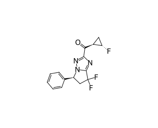 O=C(c1nc2n(n1)[C@H](c1ccccc1)CC2(F)F)[C@H]1C[C@@H]1F